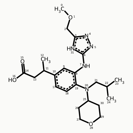 COCc1nnc(Nc2cc(C(C)CC(=O)O)ccc2N(CC(C)C)C2CCOCC2)[nH]1